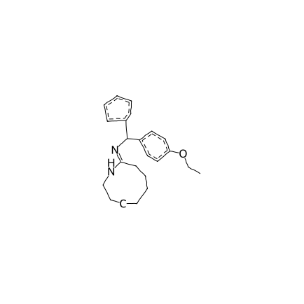 CCOc1ccc(C(N=C2CCCCCCCN2)c2ccccc2)cc1